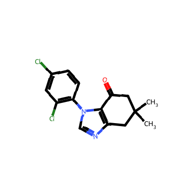 CC1(C)CC(=O)c2c(ncn2-c2ccc(Cl)cc2Cl)C1